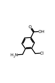 NCc1ccc(C(=O)O)cc1CCl